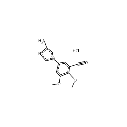 COc1cc(-n2cnc(N)c2)cc(C#N)c1OC.Cl